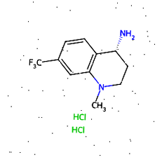 CN1CC[C@@H](N)c2ccc(C(F)(F)F)cc21.Cl.Cl